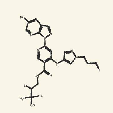 CC(C)(O)C(F)CNC(=O)c1cnc(-n2ncc3cc(C#N)cnc32)cc1Nc1cnn(CCCF)c1